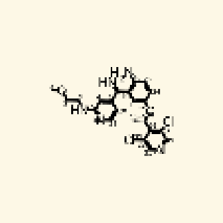 COCCNc1cc(C(=N)c2cc(O[C@H](C)c3c(Cl)cncc3Cl)ccc2N)ccn1